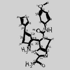 COc1ccc(NC(=O)N2CCc3nc(C(N)=O)sc3C2c2cc(-c3ccsc3)ccc2N)cc1